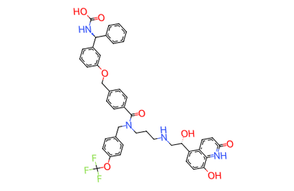 O=C(O)N[C@@H](c1ccccc1)c1cccc(OCc2ccc(C(=O)N(CCCNC[C@H](O)c3ccc(O)c4[nH]c(=O)ccc34)Cc3ccc(OC(F)(F)F)cc3)cc2)c1